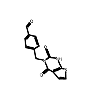 O=Cc1ccc(Cn2c(=O)[nH]c3sccc3c2=O)cc1